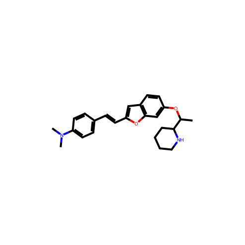 CC(Oc1ccc2cc(C=Cc3ccc(N(C)C)cc3)oc2c1)C1CCCCN1